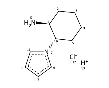 N[C@H]1CCCC[C@@H]1n1cccc1.[Cl-].[H+]